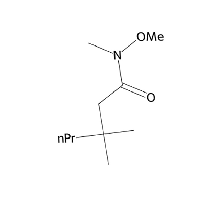 CCCC(C)(C)CC(=O)N(C)OC